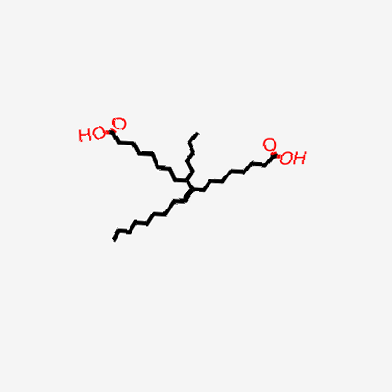 CCCCCCCCC=C(CCCCCCCC(=O)O)C(CCCCC)CCCCCCCC(=O)O